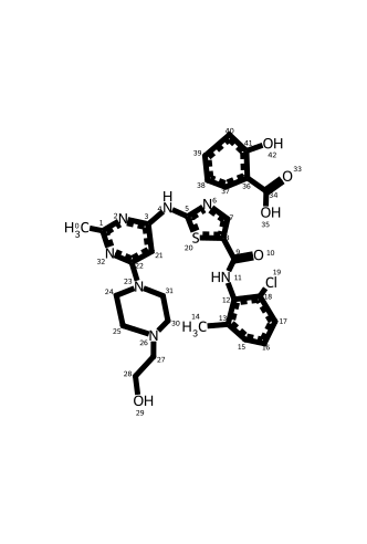 Cc1nc(Nc2ncc(C(=O)Nc3c(C)cccc3Cl)s2)cc(N2CCN(CCO)CC2)n1.O=C(O)c1ccccc1O